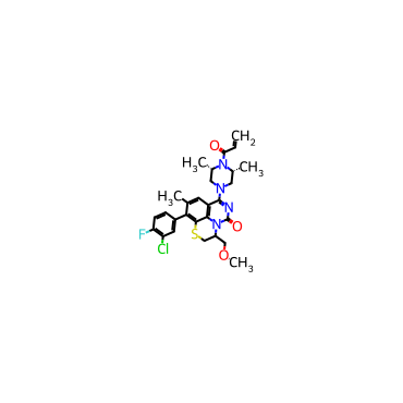 C=CC(=O)N1[C@H](C)CN(c2nc(=O)n3c4c(c(-c5ccc(F)c(Cl)c5)c(C)cc24)SCC3COC)C[C@@H]1C